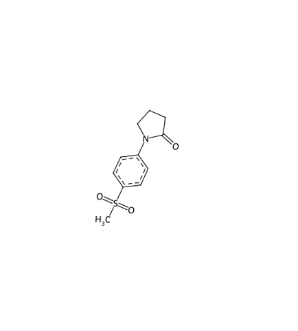 CS(=O)(=O)c1ccc(N2CCCC2=O)cc1